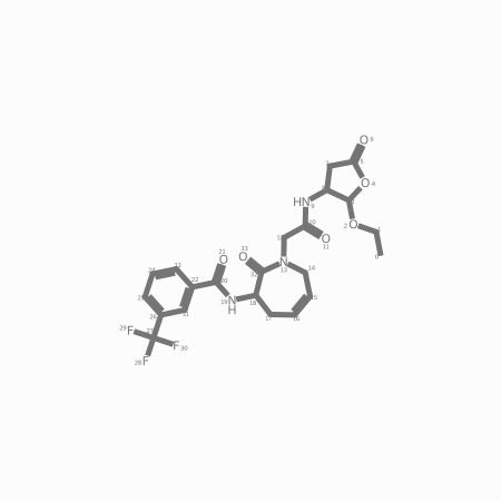 CCOC1OC(=O)CC1NC(=O)CN1CC=CCC(NC(=O)c2cccc(C(F)(F)F)c2)C1=O